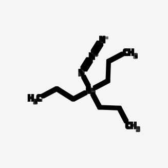 CC[CH2][Sn]([CH2]CC)([CH2]CC)[N]=[N+]=[N-]